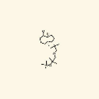 CC(C)(COCC(C)(C)[C@H]1CC[C@H]2C(=O)CCC[C@]12C)O[Si](C)(C)C